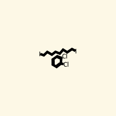 Clc1ccccc1Cl.ICCCCCCCCI